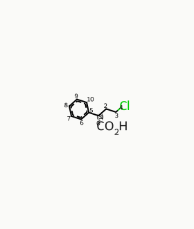 O=C(O)[C@@H](CCCl)c1ccccc1